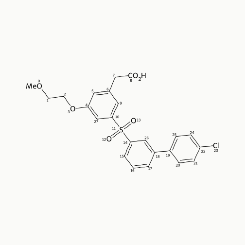 COCCOc1cc(CC(=O)O)cc(S(=O)(=O)c2cccc(-c3ccc(Cl)cc3)c2)c1